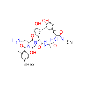 CCCCCCc1ccc(C(=O)NC(CCN)C(=O)N(CCO)C2C(=O)NC(C)C(=O)NC(C(=O)NCC#N)Cc3ccc(O)c(c3)-c3cc2ccc3O)c(C)c1